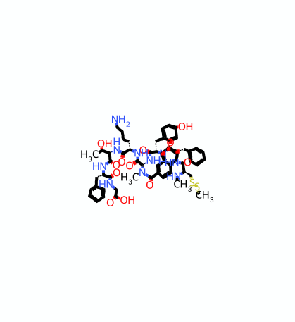 CN[C@H](CSSC)C(=O)N[C@@H](Cc1ccccc1)C(=O)N[C@@H](Cc1ccc(O)cc1)C(=O)N[C@@H](C(=O)N[C@@H](CCCCN)C(=O)N[C@H](C(=O)N[C@@H](Cc1ccccc1)C(=O)NCC(=O)O)C(C)O)N(C)C(=O)c1ccc2ccccc2c1